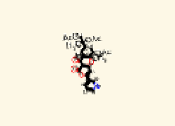 CC(=O)OC[C@@](C)(OC(C)=O)[C@@H]1C[C@H](OC(C)=O)[C@@]2(C)Oc3cc(-c4cccnc4)oc(=O)c3C(=O)[C@@H]2C1